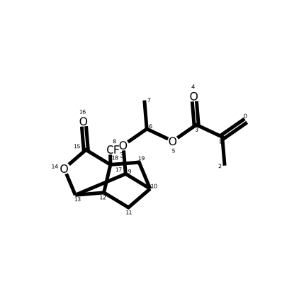 C=C(C)C(=O)OC(C)OC1C2CC3C1OC(=O)C3(C(F)(F)F)C2